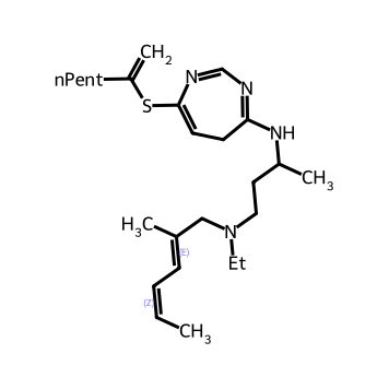 C=C(CCCCC)SC1=CCC(NC(C)CCN(CC)C/C(C)=C/C=C\C)=NC=N1